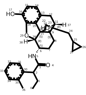 CCC(C(=O)N[C@H]1CC[C@@]2(O)[C@H]3Cc4ccc(O)c5c4[C@@]2(CCN3CC2CC2)[C@H]1O5)c1ccccc1C